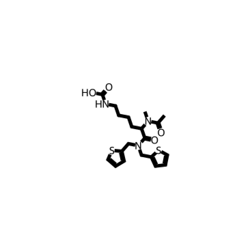 CC(=O)N(C)C(CCCCNC(=O)O)C(=O)N(Cc1cccs1)Cc1cccs1